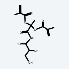 C=C(C)C(=O)OC(C)(OC(=O)C(=C)C)C(=O)NC(O)C(O)CO